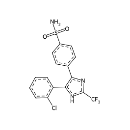 NS(=O)(=O)c1ccc(-c2nc(C(F)(F)F)[nH]c2-c2ccccc2Cl)cc1